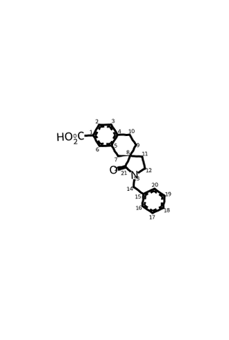 O=C(O)c1ccc2c(c1)C[C@@]1(CC2)CCN(Cc2ccccc2)C1=O